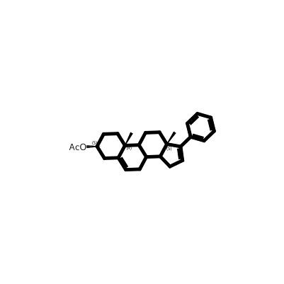 CC(=O)O[C@H]1CC[C@@]2(C)C(=CCC3C2CC[C@]2(C)C(c4ccccc4)=CCC32)C1